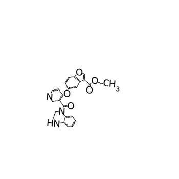 CCOC(=O)c1coc2ccc(Oc3ccncc3C(=O)N3CCNc4ccccc43)cc12